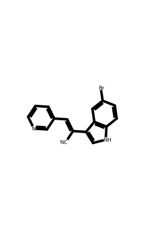 N#CC(=Cc1cccnc1)c1c[nH]c2ccc(Br)cc12